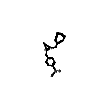 O=[N+]([O-])c1ccc(C[C@H]2CN2Cc2ccccc2)cc1